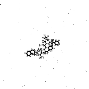 CC(C)[C@H](NC(=O)c1ccc2ccccc2n1)C(=O)NC(Cc1ccccc1)C(O)CC(=N)[C@H](CCS(=O)(=O)c1ccncc1)C(=O)NC(C)(C)C